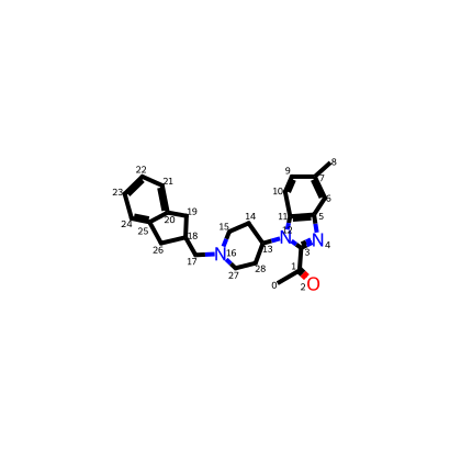 CC(=O)c1nc2cc(C)ccc2n1C1CCN(CC2Cc3ccccc3C2)CC1